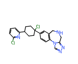 Clc1cccc(C2CCC(Cl)(c3ccc4c(c3)CNCc3nncn3-4)CC2)n1